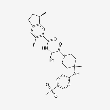 CC(C)[C@@H](NC(=O)c1cc2c(cc1F)CC[C@H]2C)C(=O)N1CCC(C)(Nc2ccc(S(C)(=O)=O)cc2)CC1